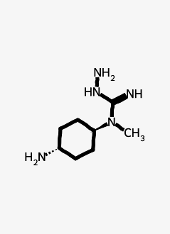 CN(C(=N)NN)[C@H]1CC[C@H](N)CC1